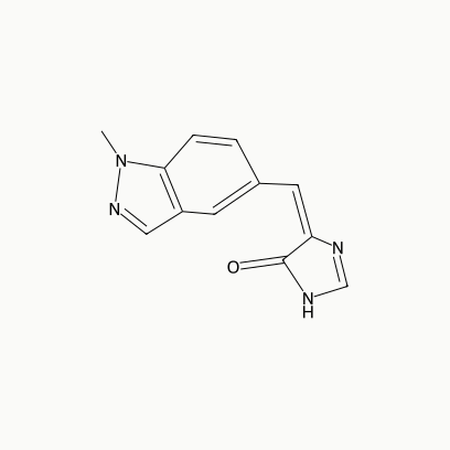 Cn1ncc2cc(C=C3N=CNC3=O)ccc21